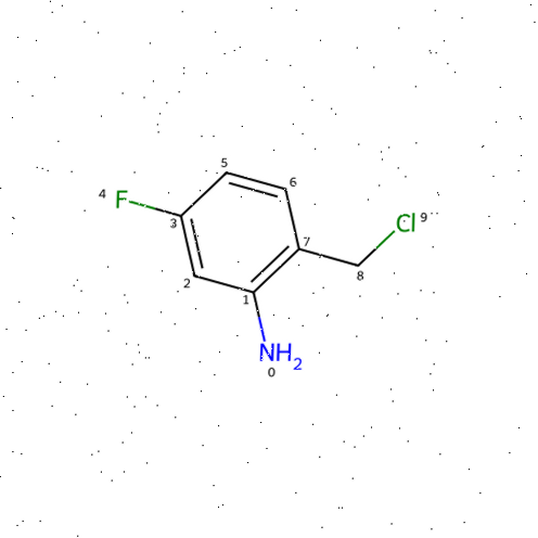 Nc1cc(F)ccc1CCl